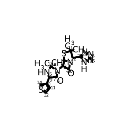 CC1(C)SC2C(N3C(=O)C(c4ccsc4)NC3(C)C)C(=O)N2C1c1nnn[nH]1